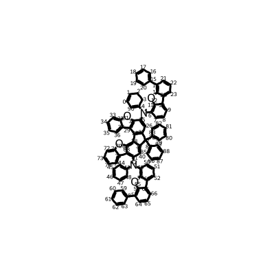 C1=CCCC(N(c2cccc3c2oc2c(-c4ccccc4)cccc23)c2cc3c(c4c2oc2ccccc24)-c2c(cc(N(c4ccccc4)c4cccc5c4oc4c(-c6ccccc6)cccc45)c4c2oc2ccccc24)C3(c2ccccc2)c2ccccc2)=C1